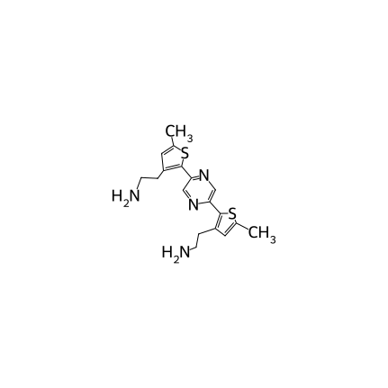 Cc1cc(CCN)c(-c2cnc(-c3sc(C)cc3CCN)cn2)s1